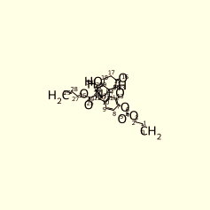 C=CCOC(=O)Oc1ccc2c3c1O[C@H]1C(=O)CCC4(O)[C@@H](C2)N(C(=O)OCC=C)CC[C@]314